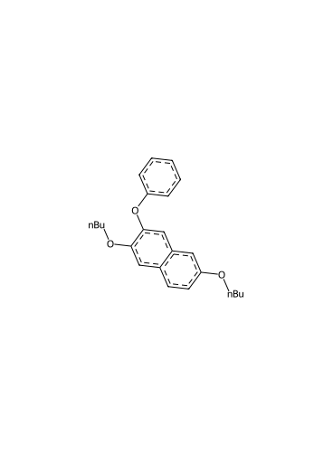 CCCCOc1ccc2cc(OCCCC)c(Oc3ccccc3)cc2c1